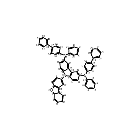 C1=CC2Oc3ccc(-n4c5ccc(N(c6ccccc6)c6ccc(-c7ccccc7)cc6)cc5c5cc(N(c6ccccc6)c6ccc(-c7ccccc7)cc6)ccc54)cc3C2C=C1